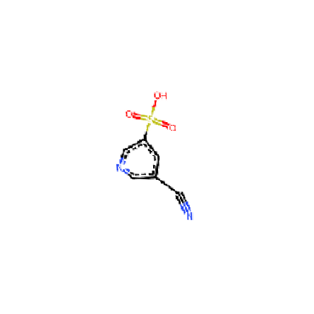 N#Cc1cncc(S(=O)(=O)O)c1